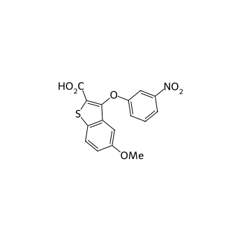 COc1ccc2sc(C(=O)O)c(Oc3cccc([N+](=O)[O-])c3)c2c1